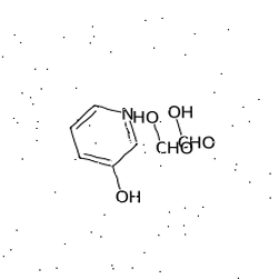 O=CO.O=CO.Oc1cccnc1